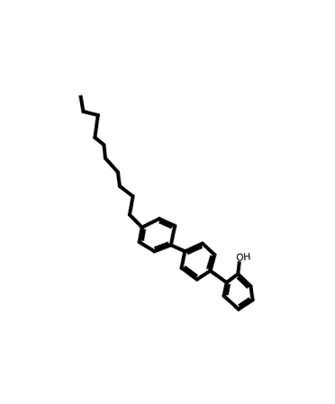 CCCCCCCCCCc1ccc(-c2ccc(-c3ccccc3O)cc2)cc1